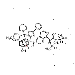 CCOc1cc(O)c(F)c(C(Nc2ccc3c(N(OC(C)(C)C)C(=O)OC(C)(C)C)nccc3c2)c2nc(-c3ccccc3)cn2C(c2ccccc2)(c2ccccc2)c2ccccc2)c1